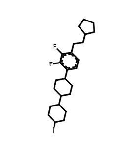 Fc1c(CCC2CCCC2)ccc(C2CCC(C3CCC(I)CC3)CC2)c1F